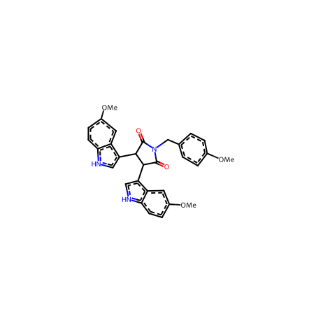 COc1ccc(CN2C(=O)C(c3c[nH]c4ccc(OC)cc34)C(c3c[nH]c4ccc(OC)cc34)C2=O)cc1